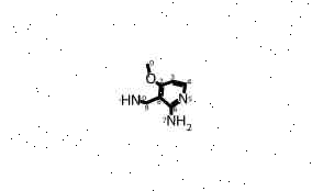 COc1ccnc(N)c1C[NH]